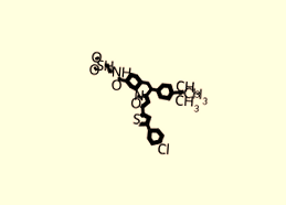 CC(C)(C)c1ccc(C(Cc2ccc(C(=O)NCC[SH](=O)=O)cc2)c2cc(-c3cc(-c4ccc(Cl)cc4)cs3)on2)cc1